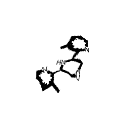 Cc1cccnc1[C@@H]1COC[C@H](c2ncccc2C)N1